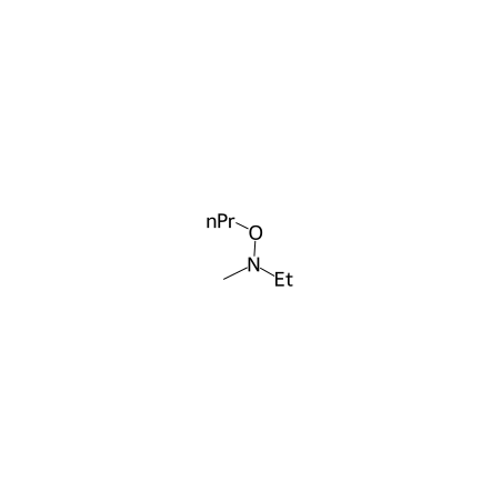 CCCON(C)CC